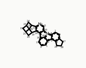 c1cc2c3c4c(ccc3n3c5cnc6c(c5c(c1)c23)C1CC2CC3CC6C321)CCC4